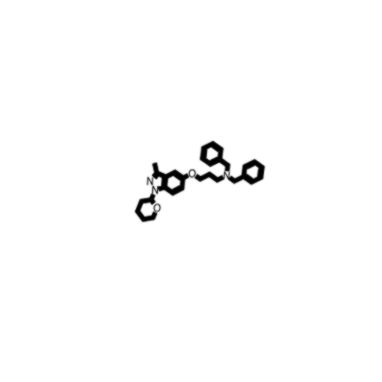 Cc1nn(C2CCCCO2)c2ccc(OCCCN(Cc3ccccc3)Cc3ccccc3)cc12